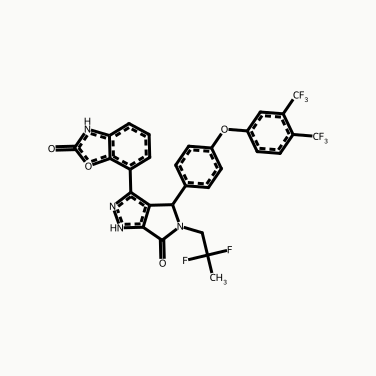 CC(F)(F)CN1C(=O)c2[nH]nc(-c3cccc4[nH]c(=O)oc34)c2C1c1ccc(Oc2ccc(C(F)(F)F)c(C(F)(F)F)c2)cc1